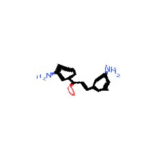 Nc1cccc(C=CC(=O)c2cccc(N)c2)c1